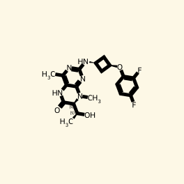 Cc1nc(N[C@H]2C[C@H](Oc3ccc(F)cc3F)C2)nc2c1NC(=O)[C@H]([C@H](C)O)N2C